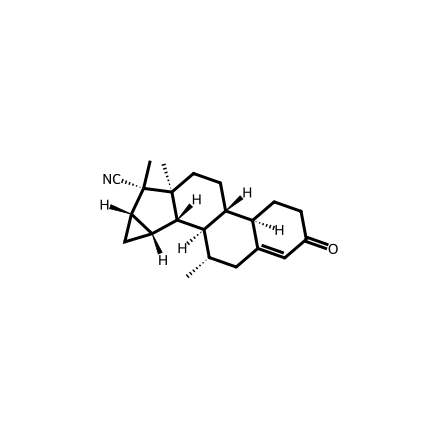 C[C@H]1CC2=CC(=O)CC[C@@H]2[C@H]2CC[C@@]3(C)[C@@H]([C@@H]4C[C@@H]4[C@]3(C)C#N)[C@@H]21